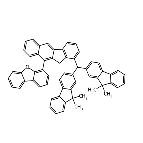 CC1(C)c2ccccc2-c2ccc(C(c3ccc4c(c3)C(C)(C)c3ccccc3-4)c3cccc4c3Cc3c-4cc4ccccc4c3-c3cccc4c3oc3ccccc34)cc21